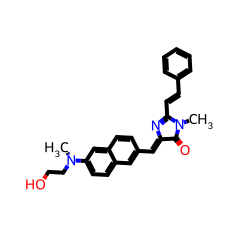 CN1C(=O)/C(=C/c2ccc3cc(N(C)CCO)ccc3c2)N=C1/C=C/c1ccccc1